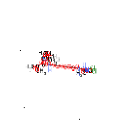 CC[C@H](C(=O)N1CCCC[C@H]1C(=O)O[C@@H](CCc1ccc(OC)c(OC)c1)c1cccc(OCC(=O)NCCOCCOCCOCCOCCOCCOCCC(=O)NCCCC(=O)NC2=NN(c3ccc(Cl)c(Cl)c3)C[C@H]2C)c1)c1cc(OC)c(OC)c(OC)c1